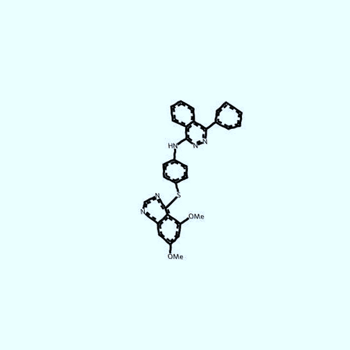 COc1cc(OC)c2c(Sc3ccc(Nc4nnc(-c5ccccc5)c5ccccc45)cc3)ncnc2c1